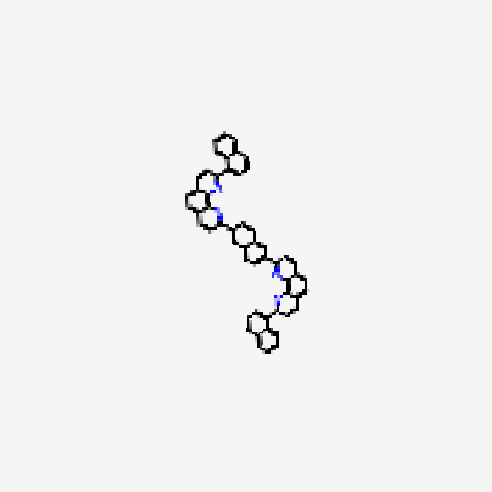 c1ccc2c(-c3ccc4ccc5ccc(-c6ccc7cc(-c8ccc9ccc%10ccc(-c%11cccc%12ccccc%11%12)nc%10c9n8)ccc7c6)nc5c4n3)cccc2c1